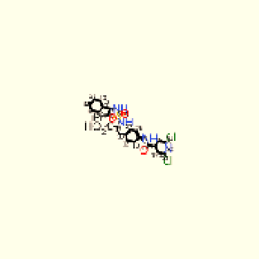 CC(C)C[C@](C)(NS(=O)(=O)N[C@@H](Cc1ccc(NC(=O)c2cc(Cl)nc(Cl)c2)cc1)C(=O)O)c1ccccc1